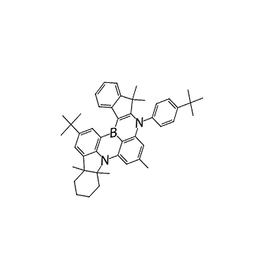 Cc1cc2c3c(c1)N1c4c(cc(C(C)(C)C)cc4C4(C)CCCCC14C)B3C1=C(N2c2ccc(C(C)(C)C)cc2)C(C)(C)c2ccccc21